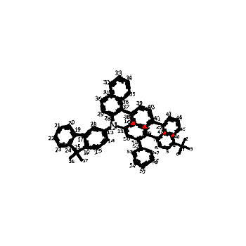 CC(C)(C)c1ccc(-c2ccc(N(c3ccc4c(c3)-c3ccccc3C4(C)C)c3ccc4ccccc4c3-c3ccc(-c4ccccc4)cc3)cc2-c2ccccc2)cc1